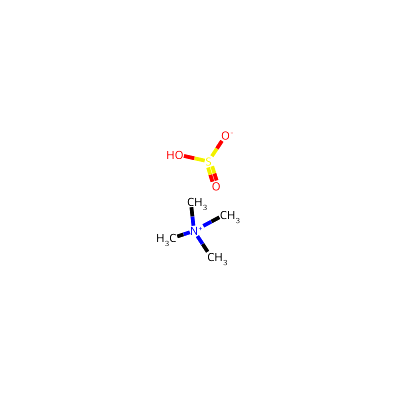 C[N+](C)(C)C.O=S([O-])O